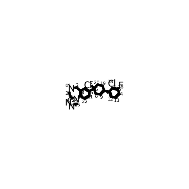 CN1Cc2cc(C3(Cl)CC=C(c4cccc(F)c4Cl)CC3)ccc2-n2cnnc2C1